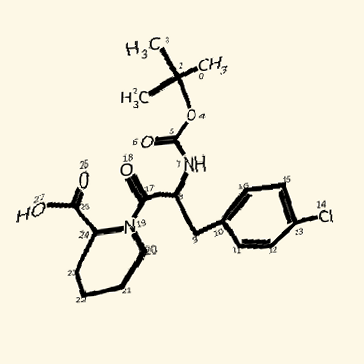 CC(C)(C)OC(=O)NC(Cc1ccc(Cl)cc1)C(=O)N1CCCCC1C(=O)O